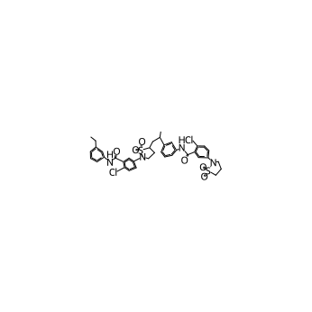 CCc1cccc(NC(=O)c2cc(N3CCC(CC(C)c4cccc(NC(=O)c5cc(N6CCCS6(=O)=O)ccc5Cl)c4)S3(=O)=O)ccc2Cl)c1